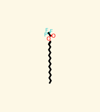 CCCCCCCCCCCCCC/C=C/OC(=O)C(F)(F)F